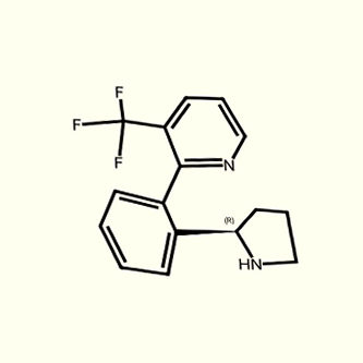 FC(F)(F)c1cccnc1-c1ccccc1[C@H]1CCCN1